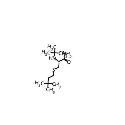 CC(C)(C)CCSC[C@@H](NC(C)(C)C)C(N)=O